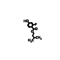 CC(C)CCOC(=O)c1ccc(O)cc1F